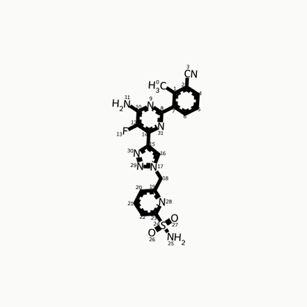 Cc1c(C#N)cccc1-c1nc(N)c(F)c(-c2cn(Cc3cccc(S(N)(=O)=O)n3)nn2)n1